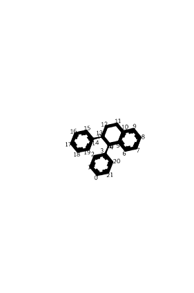 c1ccc([C@@H]2c3ccccc3CC[C@@H]2c2ccccc2)cc1